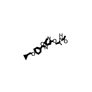 CC(=O)N[C@@H](C)COc1cc2nc(C3=CC=C(OCC4CC4)CC3)oc2cn1